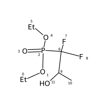 CCOP(=O)(OCC)C(F)(F)C(C)O